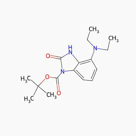 CCN(CC)c1cccc2c1[nH]c(=O)n2C(=O)OC(C)(C)C